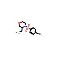 CCC1COCCN1S(=O)(=O)c1ccc(C)cc1